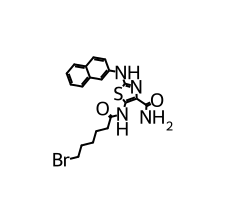 NC(=O)c1nc(Nc2ccc3ccccc3c2)sc1NC(=O)CCCCCBr